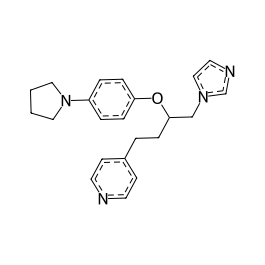 c1cc(CCC(Cn2ccnc2)Oc2ccc(N3CCCC3)cc2)ccn1